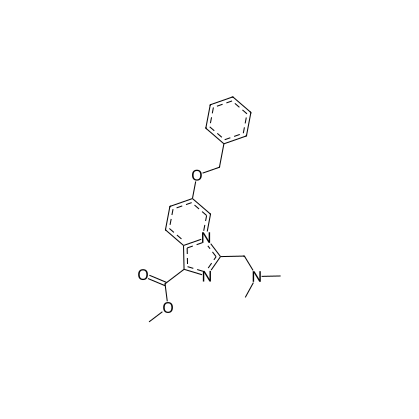 COC(=O)c1nc(CN(C)C)n2cc(OCc3ccccc3)ccc12